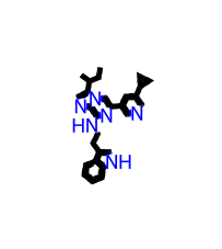 CCC(C)c1cnc2c(NCCc3c[nH]c4ccccc34)nc(-c3cncc(C4CC4)c3)cn12